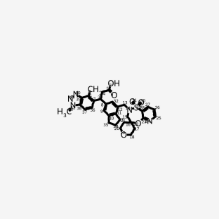 Cc1c(C(CC(=O)O)c2cc3c(c(CN4CC5(CCOCC5)Oc5ncccc5S4(=O)=O)c2)CCC3)ccc2c1nnn2C